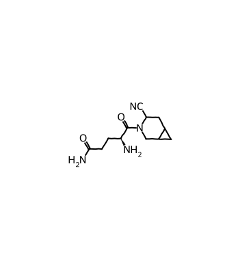 N#CC1CC2CC2CN1C(=O)[C@@H](N)CCC(N)=O